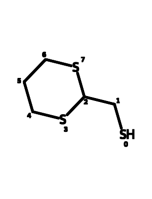 SCC1SCCCS1